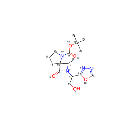 CC1N(C(CO)c2nnco2)C(=O)C12CCCN2C(=O)OC(C)(C)C